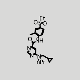 CCCN(CC1CC1)c1cc(C(=O)Nc2ccc(S(=O)(=O)CC)cc2C)ncn1